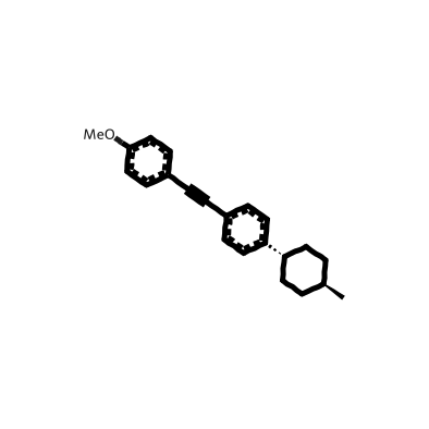 COc1ccc(C#Cc2ccc([C@H]3CC[C@H](C)CC3)cc2)cc1